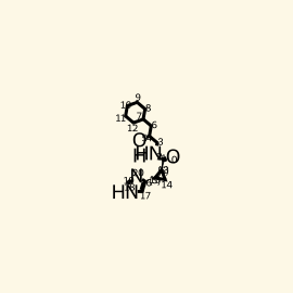 O=C(NCC(O)CC1CCCCC1)[C@H]1C[C@@H]1c1c[nH]cn1